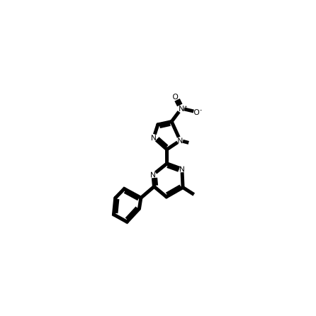 Cc1cc(-c2ccccc2)nc(-c2ncc([N+](=O)[O-])n2C)n1